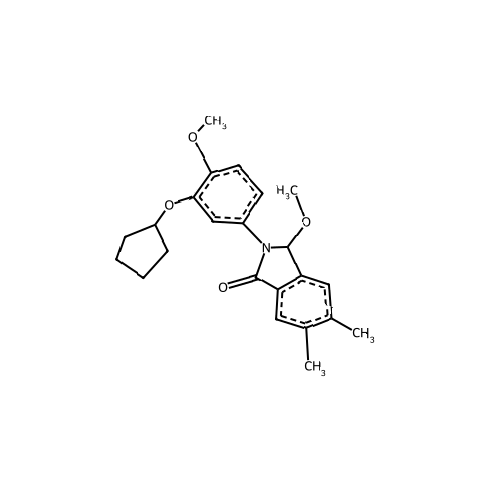 COc1ccc(N2C(=O)c3cc(C)c(C)cc3C2OC)cc1OC1CCCC1